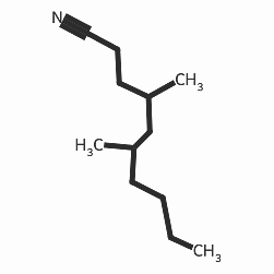 CCCCC(C)CC(C)CCC#N